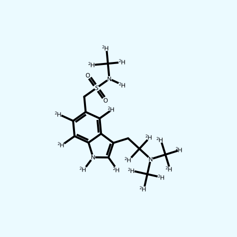 [2H]c1c(CS(=O)(=O)N([2H])C([2H])([2H])[2H])c([2H])c2c(CC([2H])([2H])N(C([2H])([2H])[2H])C([2H])([2H])[2H])c([2H])n([2H])c2c1[2H]